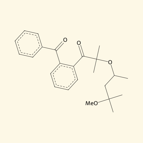 COC(C)(C)CC(C)OC(C)(C)C(=O)c1ccccc1C(=O)c1ccccc1